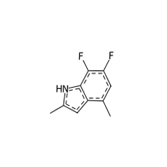 Cc1cc2c(C)cc(F)c(F)c2[nH]1